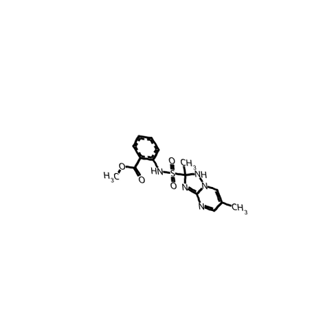 COC(=O)c1ccccc1NS(=O)(=O)C1(C)N=C2N=CC(C)=CN2N1